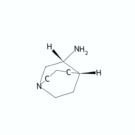 N[C@H]1CN2CCC[C@H]1CC2